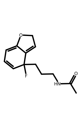 CC(=O)NCCCC1(F)C=CC=C2OCC=C21